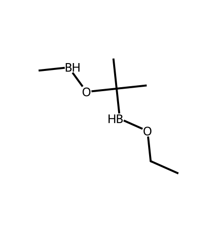 CBOC(C)(C)BOCC